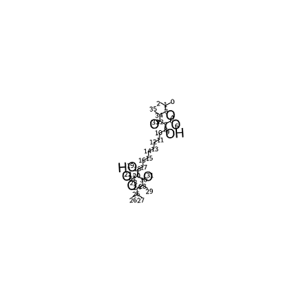 CC(C)[C@H]1OC(=O)C(=C(O)CCCCCCCCC(O)=C2C(=O)O[C@H](C(C)C)C(C)C2=O)C(=O)C1C